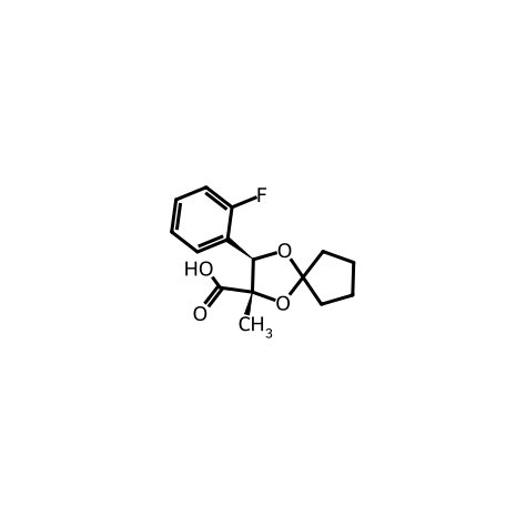 C[C@]1(C(=O)O)OC2(CCCC2)O[C@@H]1c1ccccc1F